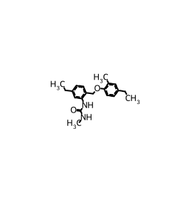 CCc1ccc(OCc2ccc(CC)cc2NC(=O)NC)c(C)c1